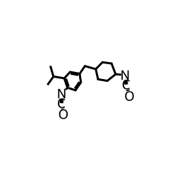 CC(C)c1cc(CC2CCC(N=C=O)CC2)ccc1N=C=O